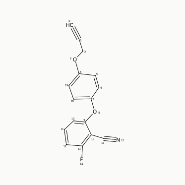 C#CCOc1ccc(Oc2cccc(F)c2C#N)cc1